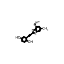 CCCOc1cc(C)cc2sc(C#Cc3cc(O)ccc3O)nc12